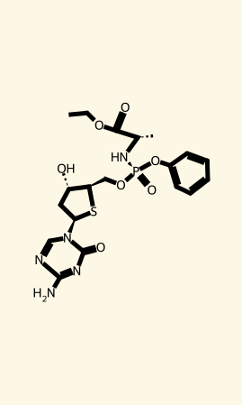 CCOC(=O)[C@H](C)N[P@](=O)(OC[C@H]1S[C@@H](n2cnc(N)nc2=O)C[C@@H]1O)Oc1ccccc1